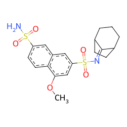 COc1cc(S(=O)(=O)N=C2C3CCCC2CC3)cc2cc(S(N)(=O)=O)ccc12